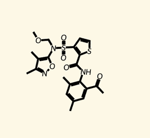 COCN(c1onc(C)c1C)S(=O)(=O)c1ccsc1C(=O)Nc1c(C)cc(C)cc1C(C)=O